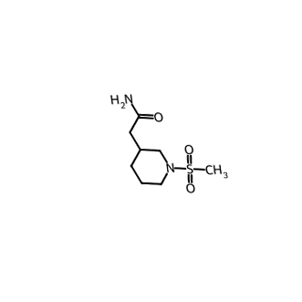 CS(=O)(=O)N1CCCC(CC(N)=O)C1